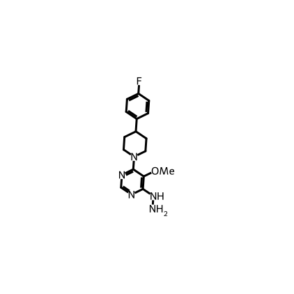 COc1c(NN)ncnc1N1CCC(c2ccc(F)cc2)CC1